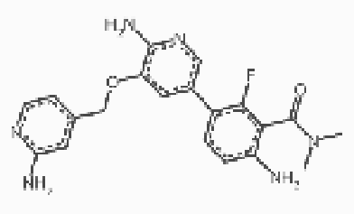 CN(C)C(=O)c1c(N)ccc(-c2cnc(N)c(OCc3ccnc(N)c3)c2)c1F